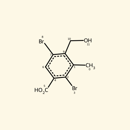 Cc1c(Br)c(C(=O)O)cc(Br)c1CO